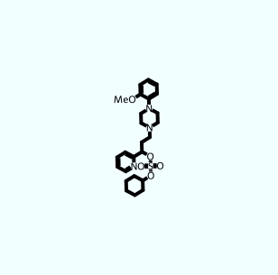 COc1ccccc1N1CCN(CCC(OS(=O)(=O)OC2CCCCC2)c2ccccn2)CC1